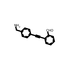 NCc1ccc(C#Cc2ccccc2C=O)cc1